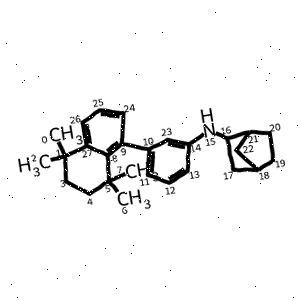 CC1(C)CCC(C)(C)c2c(-c3cccc(NC4CC5CCC4C5)c3)cccc21